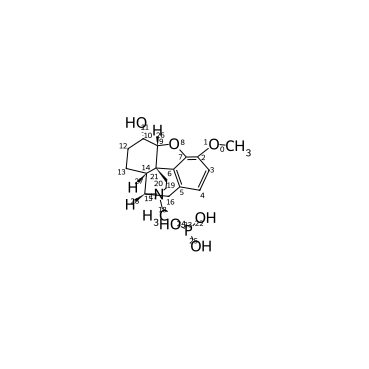 COc1ccc2c3c1O[C@H]1[C@@H](O)CC[C@H]4[C@@H](C2)N(C)CC[C@@]341.OP(O)O